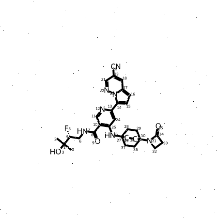 CC(C)(O)[C@H](F)CNC(=O)c1cnc(-c2ccc3cc(C#N)cnn23)cc1NC12CCC(N3CCC3=O)(CC1)CC2